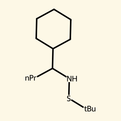 CCCC(NSC(C)(C)C)C1CCCCC1